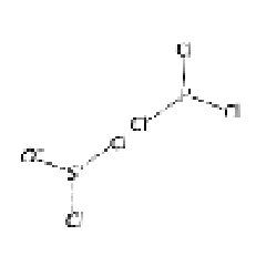 ClP(Cl)Cl.[O-][S+](Cl)Cl